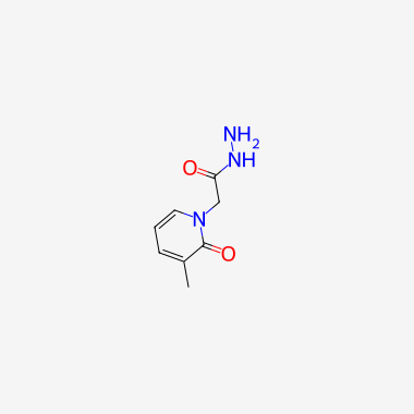 Cc1cccn(CC(=O)NN)c1=O